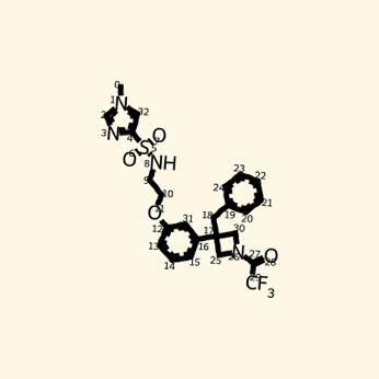 Cn1cnc(S(=O)(=O)NCCOc2cccc(C3(Cc4ccccc4)CN(C(=O)C(F)(F)F)C3)c2)c1